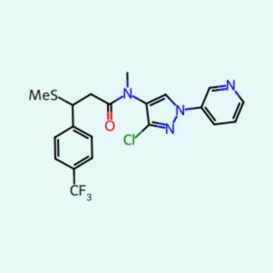 CSC(CC(=O)N(C)c1cn(-c2cccnc2)nc1Cl)c1ccc(C(F)(F)F)cc1